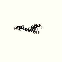 CC(C)(O)c1cc2nc(C3CCN(Cc4cncc(N5CCC(=O)NC5=O)c4)CC3)sc2cc1NC(=O)c1ccc(C(F)(F)F)nc1